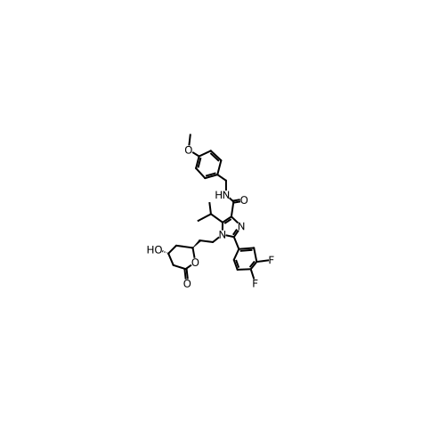 COc1ccc(CNC(=O)c2nc(-c3ccc(F)c(F)c3)n(CC[C@@H]3C[C@@H](O)CC(=O)O3)c2C(C)C)cc1